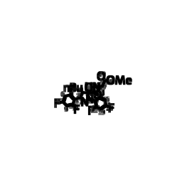 CCCCC1C(c2c(F)cc(F)cc2F)=NN(c2ccc(F)cc2F)C1(C)C(=O)NCC(=O)OC